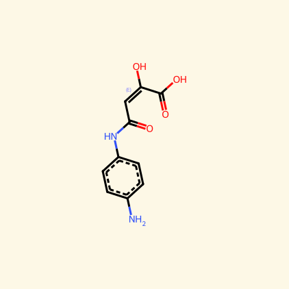 Nc1ccc(NC(=O)/C=C(/O)C(=O)O)cc1